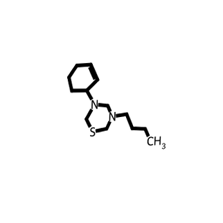 CCCCN1CSCN(C2C=CCCC2)C1